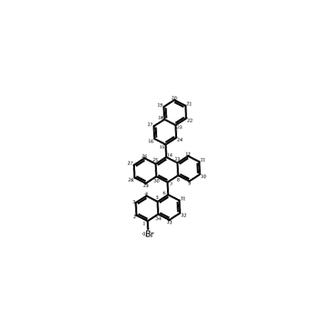 Brc1cccc2c(-c3c4ccccc4c(-c4ccc5ccccc5c4)c4ccccc34)cccc12